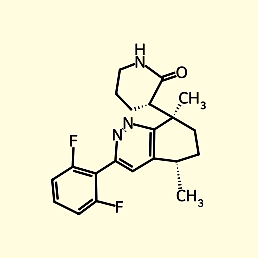 C[C@H]1CC[C@](C)([C@@H]2CCCNC2=O)c2nnc(-c3c(F)cccc3F)cc21